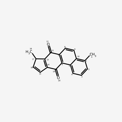 Cc1cccc2c3c(ccc12)C(=O)C1=C(C=CC1C)C3=O